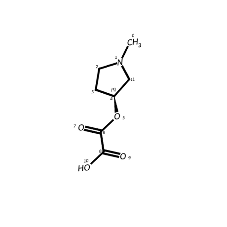 CN1CC[C@H](OC(=O)C(=O)O)C1